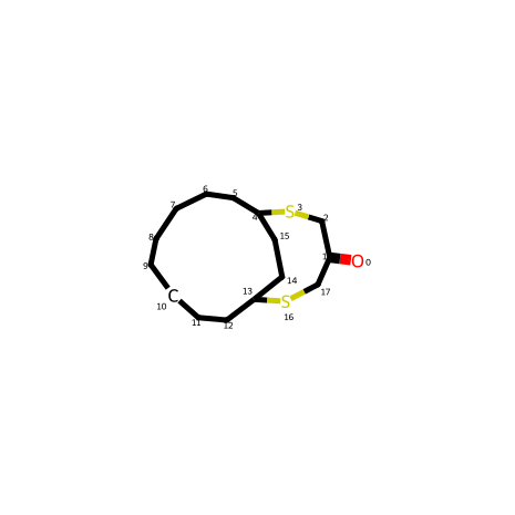 O=C1CSC2CCCCCCCCC(CC2)SC1